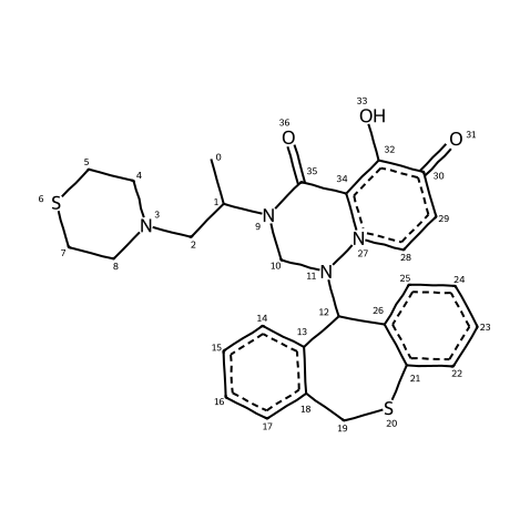 CC(CN1CCSCC1)N1CN(C2c3ccccc3CSc3ccccc32)n2ccc(=O)c(O)c2C1=O